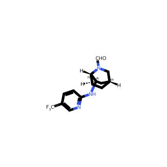 O=CN1C[C@@H]2CC[C@H]1[C@H](Nc1ccc(C(F)(F)F)cn1)C2